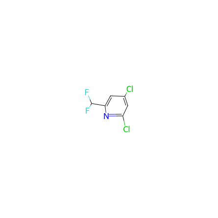 FC(F)c1cc(Cl)cc(Cl)n1